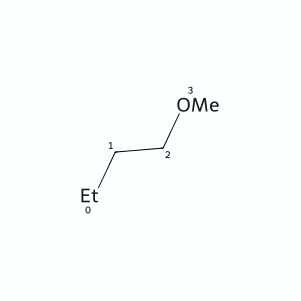 CCCCO[1C]